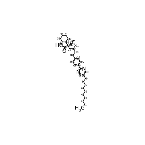 CCCCCCCCCCc1cnc(-c2ccc(CCC(CC)C[C@@](F)(C(=O)O)C3CCCCC3)cc2)nc1